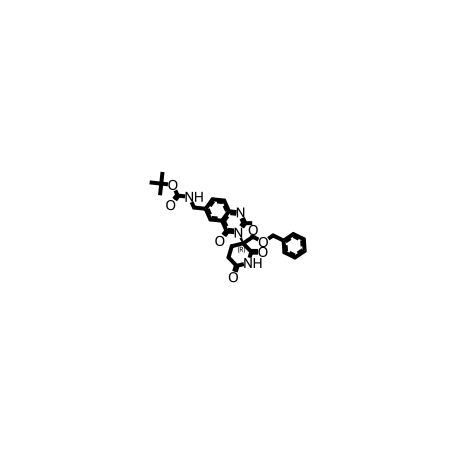 Cc1nc2ccc(CNC(=O)OC(C)(C)C)cc2c(=O)n1[C@]1(C(=O)OCc2ccccc2)CCC(=O)NC1=O